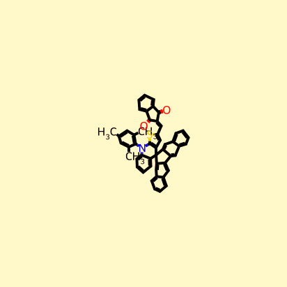 Cc1cc(C)c(N2c3ccccc3C3(c4cc5ccccc5cc4-c4cc5ccccc5cc43)c3cc(C=C4C(=O)c5ccccc5C4=O)sc32)c(C)c1